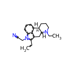 C=Cc1c2c3c(cccc3n1CC#N)[C@H]1CCCN(CC)[C@@H]1C2